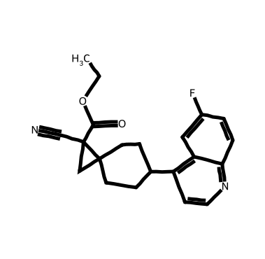 CCOC(=O)C1(C#N)CC12CCC(c1ccnc3ccc(F)cc13)CC2